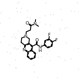 CN(C)C(=O)CCN1CCc2nc3ccccc3c(C(=O)Nc3ccc(F)c(F)c3)c2C1